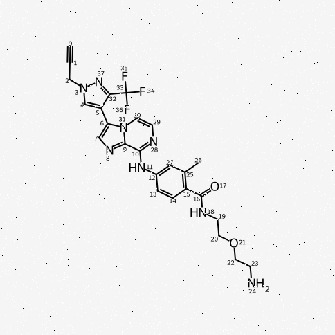 C#CCn1cc(-c2cnc3c(Nc4ccc(C(=O)NCCOCCN)c(C)c4)nccn23)c(C(F)(F)F)n1